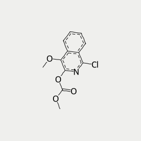 COC(=O)Oc1nc(Cl)c2ccccc2c1OC